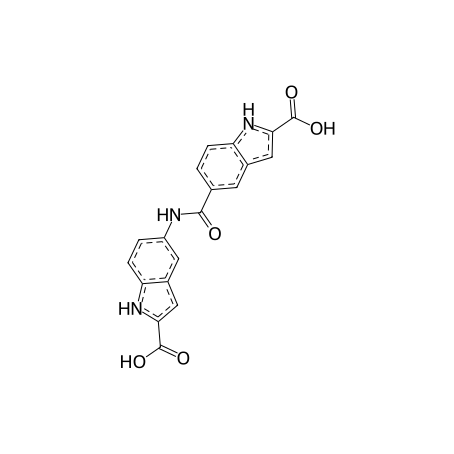 O=C(Nc1ccc2[nH]c(C(=O)O)cc2c1)c1ccc2[nH]c(C(=O)O)cc2c1